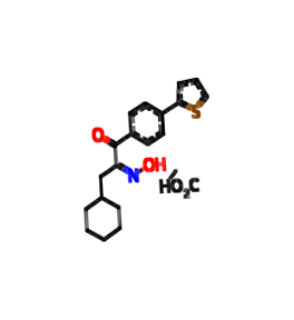 CC(=O)O.O=C(C(CC1CCCCC1)=NO)c1ccc(-c2cccs2)cc1